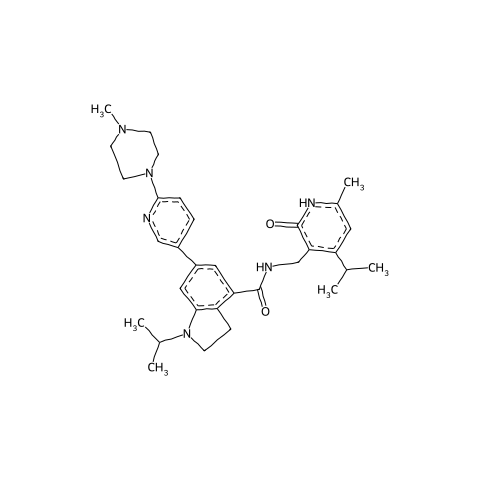 Cc1cc(C(C)C)c(CNC(=O)c2cc(-c3ccc(N4CCN(C)CC4)nc3)cc3c2CCN3C(C)C)c(=O)[nH]1